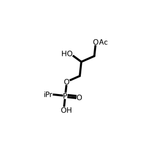 CC(=O)OCC(O)COP(=O)(O)C(C)C